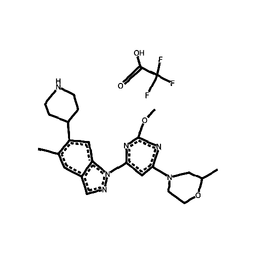 COc1nc(N2CCOC(C)C2)cc(-n2ncc3cc(C)c(C4CCNCC4)cc32)n1.O=C(O)C(F)(F)F